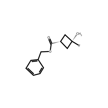 C[C@]1(F)C[C@H](C(=O)OCc2ccccc2)C1